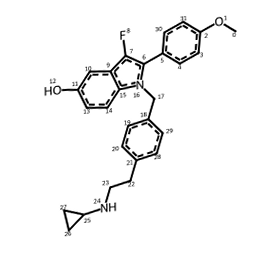 COc1ccc(-c2c(F)c3cc(O)ccc3n2Cc2ccc(CCNC3CC3)cc2)cc1